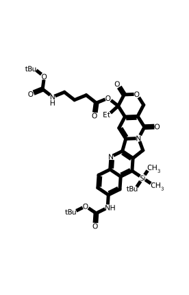 CCC1(OC(=O)CCCNC(=O)OC(C)(C)C)C(=O)OCc2c1cc1n(c2=O)Cc2c-1nc1ccc(NC(=O)OC(C)(C)C)cc1c2[Si](C)(C)C(C)(C)C